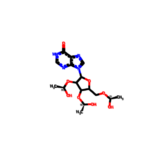 C[C@H](O)OC1C(O[C@@H](C)O)C(CO[C@@H](C)O)OC1n1cnc2c(=O)[nH]cnc21